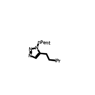 CCCCCn1nncc1CCC(C)C